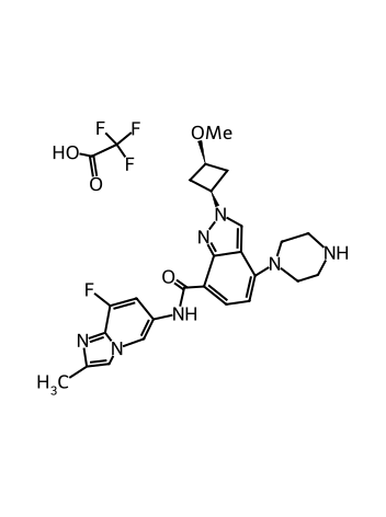 CO[C@H]1C[C@@H](n2cc3c(N4CCNCC4)ccc(C(=O)Nc4cc(F)c5nc(C)cn5c4)c3n2)C1.O=C(O)C(F)(F)F